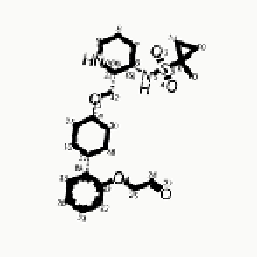 CC1(S(=O)(=O)N[C@H]2CCCN[C@H]2CO[C@H]2CC[C@@H](c3ccccc3OCC=O)CC2)CC1